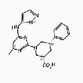 Cc1cc(Nc2ccn[nH]2)nc(N2C[C@@H](C(=O)O)C[C@@H](c3ccccc3)C2)n1